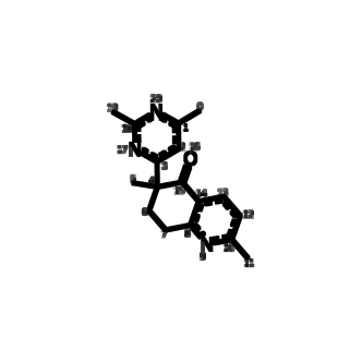 Cc1cc(C2(C)CCc3nc(C)ccc3C2=O)nc(C)n1